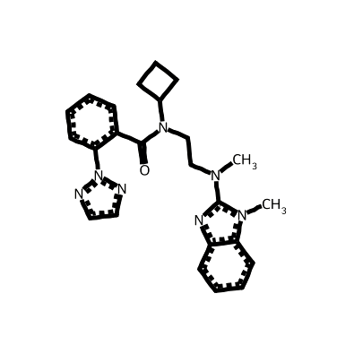 CN(CCN(C(=O)c1ccccc1-n1nccn1)C1CCC1)c1nc2ccccc2n1C